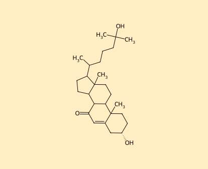 CC(CCCC(C)(C)O)C1CCC2C3C(=O)C=C4C[C@@H](O)CCC4(C)C3CCC12C